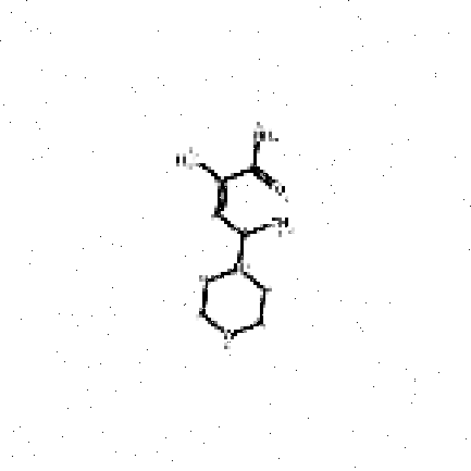 CC(=CC(C)N1CCOCC1)C(N)=O